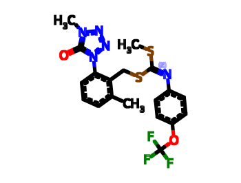 CS/C(=N/c1ccc(OC(F)(F)F)cc1)SCc1c(C)cccc1-n1nnn(C)c1=O